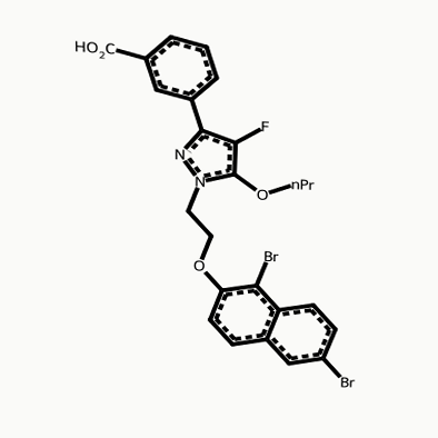 CCCOc1c(F)c(-c2cccc(C(=O)O)c2)nn1CCOc1ccc2cc(Br)ccc2c1Br